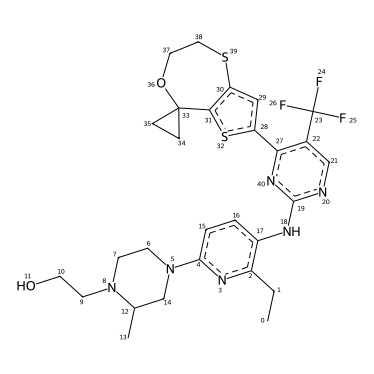 CCc1nc(N2CCN(CCO)C(C)C2)ccc1Nc1ncc(C(F)(F)F)c(-c2cc3c(s2)C2(CC2)OCCS3)n1